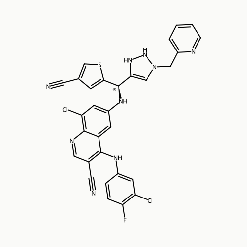 N#Cc1csc([C@H](Nc2cc(Cl)c3ncc(C#N)c(Nc4ccc(F)c(Cl)c4)c3c2)C2=CN(Cc3ccccn3)NN2)c1